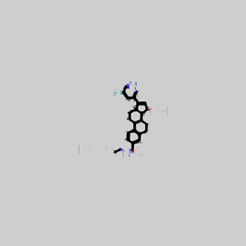 CN(CCC(=O)O)C(=O)c1ccc2c(c1)CCC1C2CC[C@]2(C)C(c3cncc(F)c3)=C[C@@H](O)C12